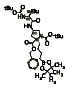 CC[C@H](C)[C@H](NC(=O)OC(C)(C)C)C(=O)N[C@H]1CN(C(=O)OC(C)(C)C)[C@@](CCCCB2OC(C)(C)C(C)(C)O2)(C(=O)OCc2ccccc2)C1